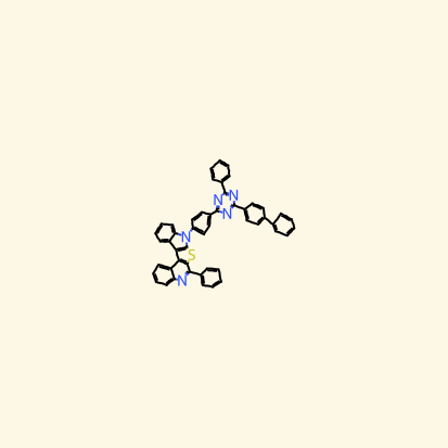 c1ccc(-c2ccc(-c3nc(-c4ccccc4)nc(-c4ccc(-n5c6ccccc6c6c7c(sc65)c(-c5ccccc5)nc5ccccc57)cc4)n3)cc2)cc1